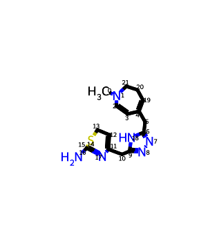 CN1C=CC(Cc2nnc(CC3=CCSC(N)=N3)[nH]2)=CCC1